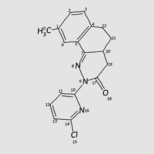 Cc1ccc2c(c1)C1=NN(c3cccc(Cl)n3)C(=O)CC1CC2